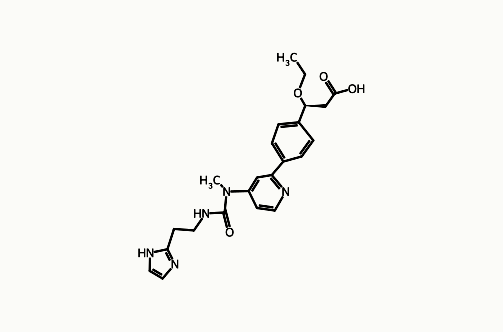 CCO[C@@H](CC(=O)O)c1ccc(-c2cc(N(C)C(=O)NCCc3ncc[nH]3)ccn2)cc1